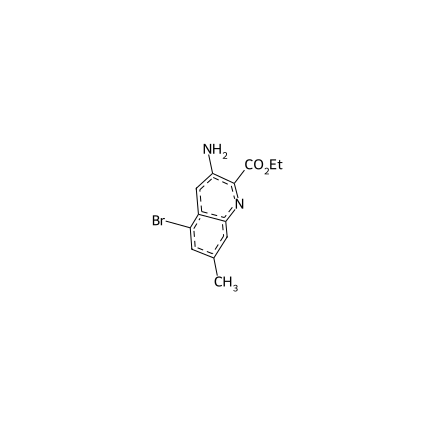 CCOC(=O)c1nc2cc(C)cc(Br)c2cc1N